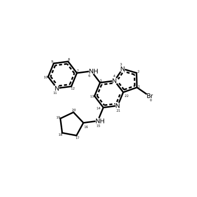 Brc1cnn2c(Nc3cccnc3)cc(NC3CCCC3)nc12